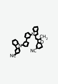 C=c1oc2ccc(C#N)cc2/c1=C/c1cc2ccccc2n1-c1cccc(-c2cccc(-n3c4ccccc4c4cc(C#N)ccc43)c2)c1